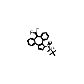 CC(C)(C)[N+](C)(C)[Si](=O)C1C=CC2=C1c1ccccc1C(=C(F)F)c1ccccc12